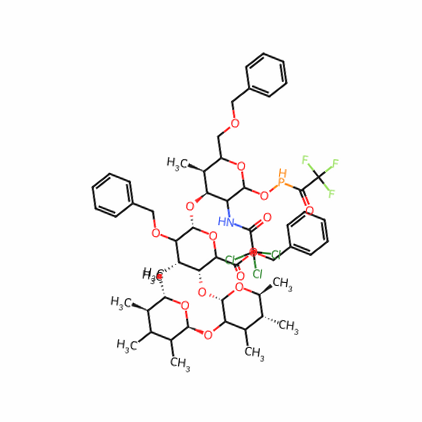 CC1C(C)[C@@H](C)[C@H](C)O[C@H]1OC1C(C)[C@@H](C)[C@H](C)O[C@H]1O[C@H]1C(C(=O)OCc2ccccc2)O[C@@H](O[C@@H]2C(NC(=O)C(Cl)(Cl)Cl)C(OPC(=O)C(F)(F)F)OC(COCc3ccccc3)[C@@H]2C)C(OCc2ccccc2)[C@H]1C